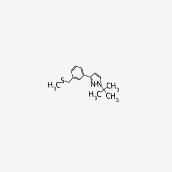 CSCc1cccc(-c2ccn(C(C)(C)C)n2)c1